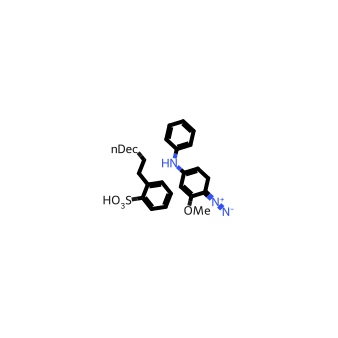 CCCCCCCCCCCCc1ccccc1S(=O)(=O)O.COC1=CC(Nc2ccccc2)=CCC1=[N+]=[N-]